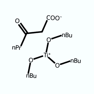 CCCC(=O)CC(=O)[O-].CCCC[O][Ti+]([O]CCCC)[O]CCCC